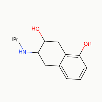 CC(C)NC1Cc2cccc(O)c2CC1O